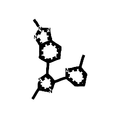 Cc1cccc(-c2nc(C)sc2-c2ccc3nn(C)nc3c2)n1